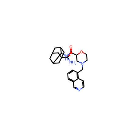 NC(=O)C12CC3CC(C1)C(NC(=O)C1CN(Cc4cccc5cnccc45)CCO1)C(C3)C2